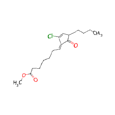 CCCCC1C=C(Cl)C(=CCCCCCC(=O)OC)C1=O